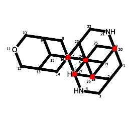 C1CC2CNCC(N3CC4COCC(C3)C4C3NCC4CNCC3C4)(C1)C2